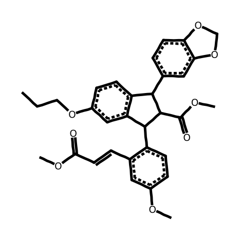 CCCOc1ccc2c(c1)C(c1ccc(OC)cc1/C=C/C(=O)OC)C(C(=O)OC)C2c1ccc2c(c1)OCO2